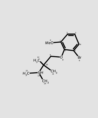 COc1cccc(Br)c1OCC(C)(C)[SiH](C)C